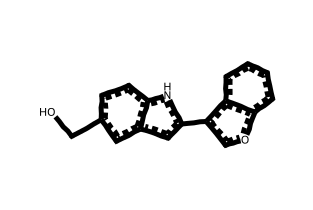 OCc1ccc2[nH]c(-c3coc4ccccc34)cc2c1